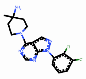 CC1(N)CCN(c2ncnc3c2cnn3-c2cccc(Cl)c2Cl)CC1